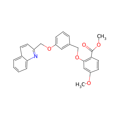 COC(=O)c1ccc(OC)cc1OCc1cccc(OCc2ccc3ccccc3n2)c1